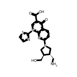 NC[C@H]1CN(c2ccc3c(=O)c(C(=O)O)cn(-c4nccs4)c3n2)C[C@@H]1CO